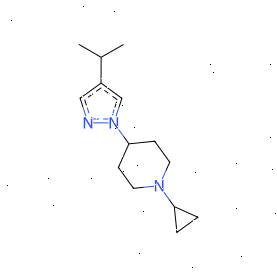 CC(C)c1cnn(C2CCN(C3CC3)CC2)c1